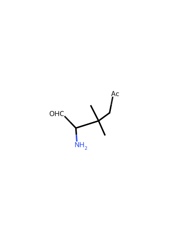 CC(=O)CC(C)(C)C(N)C=O